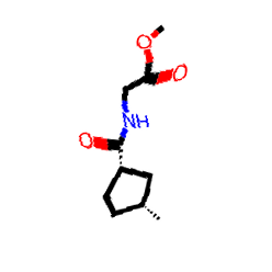 COC(=O)CNC(=O)[C@H]1CC[C@@H](C)C1